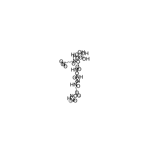 COc1cc2c(cc1OCCCC(=O)Nc1cc(C(=O)Nc3ccc(NC(=O)OCc4ccc(O[C@@H]5O[C@H](CO)[C@H](O)[C@H](O)[C@H]5O)c(NC(=O)CCCCCN5C(=O)C=CC5=O)c4)cc3)n(C)c1)N=C[C@@H]1CCCCN1C2=O